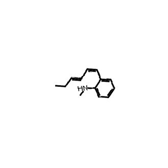 CC/C=C/C=C\c1ccccc1NC